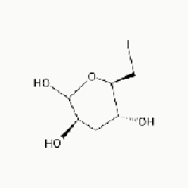 OC1O[C@@H](CI)[C@H](O)C[C@H]1O